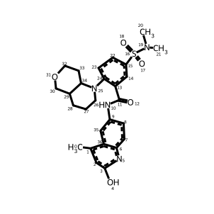 Cc1cc(O)nc2ccc(NC(=O)c3cc(S(=O)(=O)N(C)C)ccc3N3CCCC4COCCC43)cc12